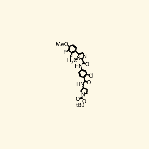 COc1ccc(-c2cnc(C(=O)Nc3ccc(C(=O)NC4CCN(C(=O)OC(C)(C)C)C4)c(Cl)c3)n2C)c(F)c1F